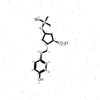 CCOC(=O)[C@@H]1CC(O[Si](C)(C)C(C)(C)C)C[C@H]1COc1ccc(O)nn1